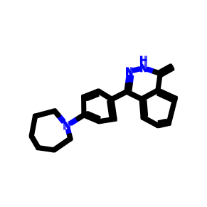 C=C1NN=C(c2ccc(N3CCCCCC3)cc2)c2ccccc21